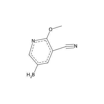 Bc1cnc(OC)c(C#N)c1